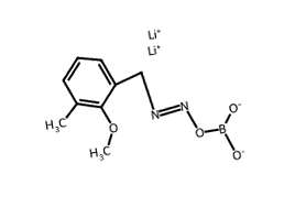 COc1c(C)cccc1CN=NOB([O-])[O-].[Li+].[Li+]